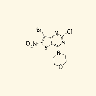 O=[N+]([O-])c1sc2c(N3CCOCC3)nc(Cl)nc2c1Br